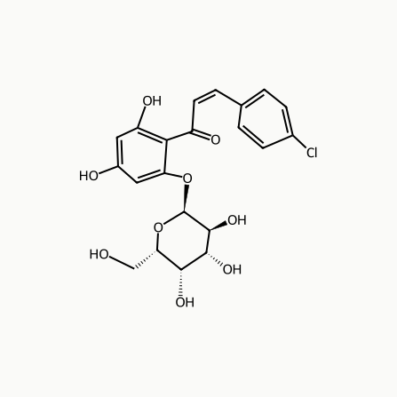 O=C(/C=C\c1ccc(Cl)cc1)c1c(O)cc(O)cc1O[C@@H]1O[C@@H](CO)[C@@H](O)[C@@H](O)[C@@H]1O